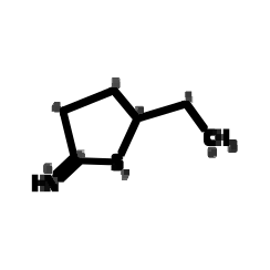 CCC1CCC(=N)S1